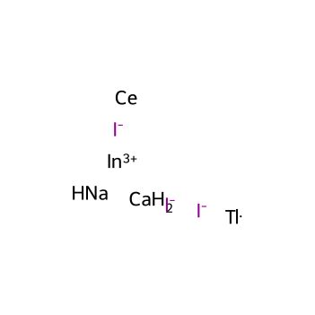 [CaH2].[Ce].[I-].[I-].[I-].[In+3].[NaH].[Tl]